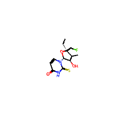 CC[C@@]1(CF)O[C@@H](n2ccc(=O)[nH]c2=S)[C@H](O)C1C